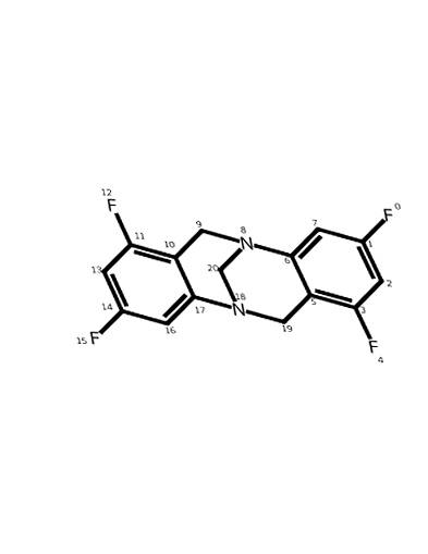 Fc1cc(F)c2c(c1)N1Cc3c(F)cc(F)cc3N(C2)C1